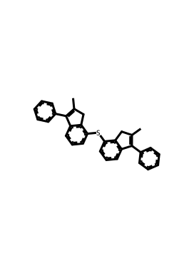 CC1=C(c2ccccc2)c2cccc(Sc3cccc4c3CC(C)=C4c3ccccc3)c2C1